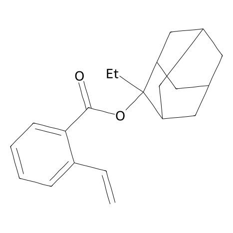 C=Cc1ccccc1C(=O)OC1(CC)C2CC3CC(C2)CC1C3